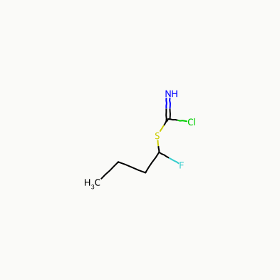 CCCC(F)SC(=N)Cl